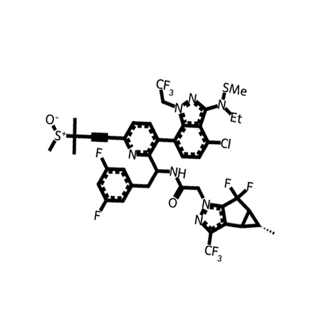 CCN(SC)c1nn(CC(F)(F)F)c2c(-c3ccc(C#CC(C)(C)[S+](C)[O-])nc3C(Cc3cc(F)cc(F)c3)NC(=O)Cn3nc(C(F)(F)F)c4c3C(F)(F)C3C4[C@H]3C)ccc(Cl)c12